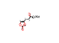 COC(=O)CCc1coc(=O)o1